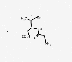 CCC(C)C(C)C(CC(=O)O)NC(=O)CN